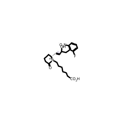 O=C(O)CCCCCCN1C(=O)CCC[C@@H]1/C=C/C(O)Cc1c(F)cccc1[N+](=O)[O-]